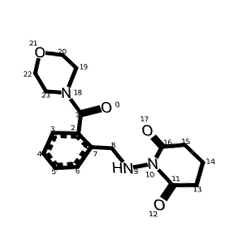 O=C(c1ccccc1CNN1C(=O)CCCC1=O)N1CCOCC1